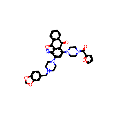 O=C1c2ccccc2-c2onc3c(N4CCN(Cc5ccc6c(c5)OCO6)CC4)cc(N4CCN(C(=O)c5ccco5)CC4)c1c23